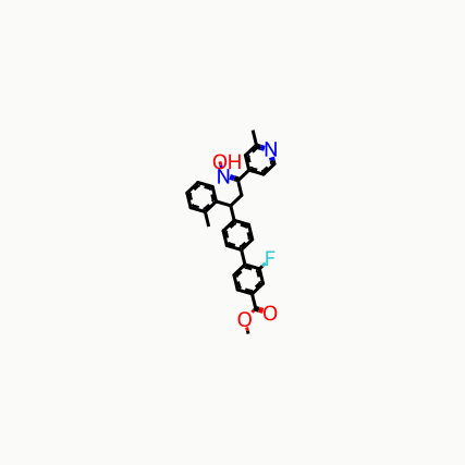 COC(=O)c1ccc(-c2ccc(C(CC(=NO)c3ccnc(C)c3)c3ccccc3C)cc2)c(F)c1